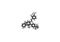 COc1cccc(/C=C/c2nc3sc4ccccc4n3c(=O)c2-c2ccc(C(F)(F)F)cc2)c1C